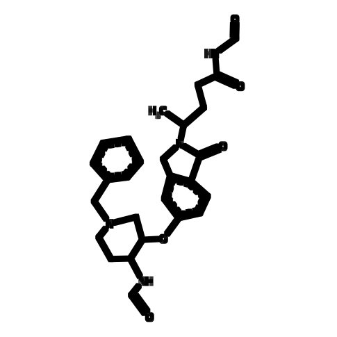 CC(CCC(=O)NC=O)N1Cc2cc(OC3CN(Cc4ccccc4)CCC3NC=O)ccc2C1=O